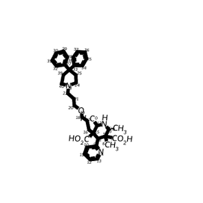 CC1N[C@H](C)C(C)(C(=O)O)C(c2ccccn2)C1(CCCOCCCN1CCC(c2ccccc2)(c2ccccc2)CC1)C(=O)O